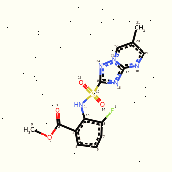 COC(=O)c1cccc(F)c1NS(=O)(=O)c1nc2ncc(C)cn2n1